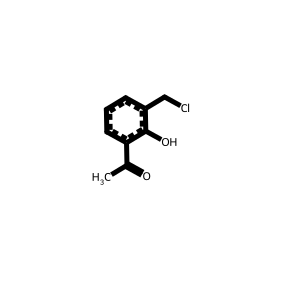 CC(=O)c1cccc(CCl)c1O